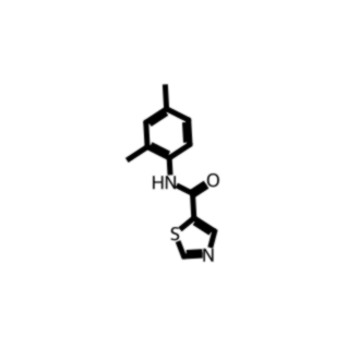 Cc1ccc(NC(=O)c2cncs2)c(C)c1